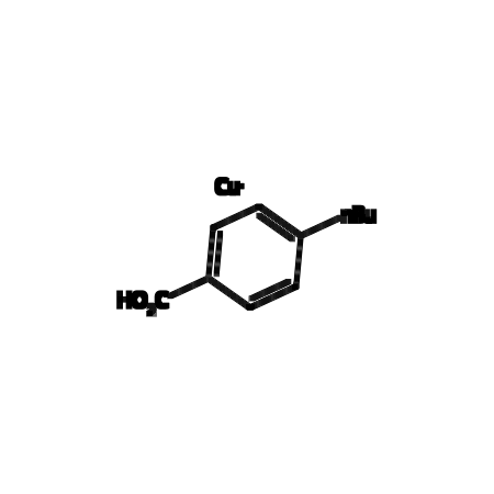 CCCCc1ccc(C(=O)O)cc1.[Cu]